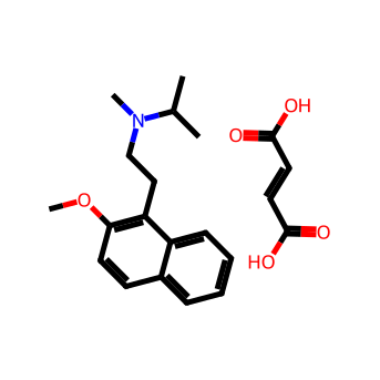 COc1ccc2ccccc2c1CCN(C)C(C)C.O=C(O)/C=C/C(=O)O